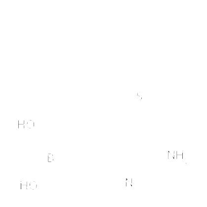 Nc1ncc(B(O)O)cc1Sc1ccccc1